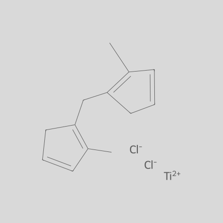 CC1=C(CC2=C(C)C=CC2)CC=C1.[Cl-].[Cl-].[Ti+2]